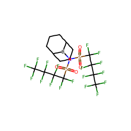 O=S(=O)(N(B1C2CCCC1CCC2)S(=O)(=O)C(F)(F)C(F)(F)C(F)(F)C(F)(F)F)C(F)(F)C(F)(F)C(F)(F)C(F)(F)F